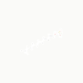 CC(C)CCCCCCCCCCO[SH](=O)=O